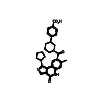 Cc1cc2[nH]c(=O)c3cnn(C4CCCC4)c3c2cc1C(=O)N1CCCC(c2ccc(C(=O)O)cc2)C1